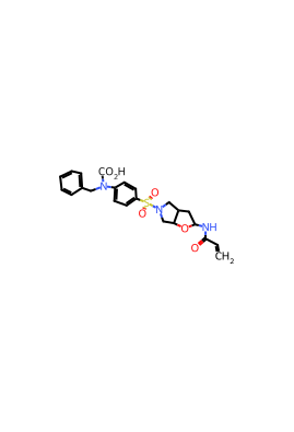 C=CC(=O)NC1CC2CN(S(=O)(=O)c3ccc(N(Cc4ccccc4)C(=O)O)cc3)CC2O1